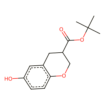 CC(C)(C)OC(=O)C1COc2ccc(O)cc2C1